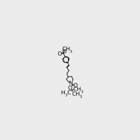 COC(=O)c1ccc(C=CCCC2CCN(C(=O)OC(C)(C)C)CC2)cc1